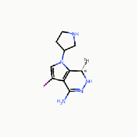 [2H][C@@H]1NN=C(N)c2c(I)cn(C3CCNC3)c21